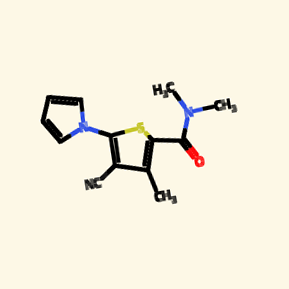 Cc1c(C(=O)N(C)C)sc(-n2cccc2)c1C#N